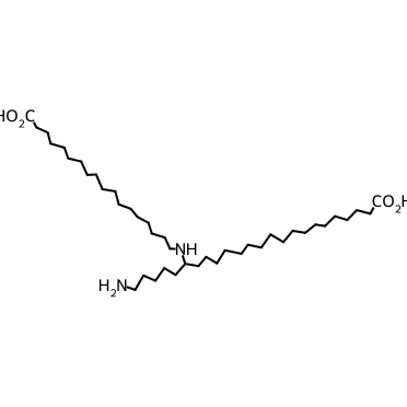 NCCCCCC(CCCCCCCCCCCCCCCCCC(=O)O)NCCCCCCCCCCCCCCCCCC(=O)O